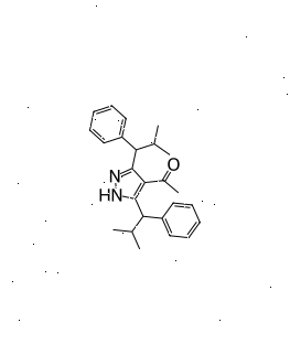 CC(=O)c1c(C(c2ccccc2)C(C)C)n[nH]c1C(c1ccccc1)C(C)C